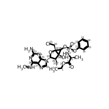 CCOC(=O)[C@H](C)N[P@@](=O)(Oc1ccccc1)OC1[C@@]2(CCl)O[C@@H](n3cnc4c(NC)nc(N)nc43)[C@H](F)[C@@]12O